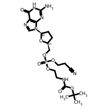 CC(C)(C)OC(=O)NCCOP(=O)(OCCC#N)OC[C@@H]1CC[C@H](n2cnc3c(=O)[nH]c(N)nc32)O1